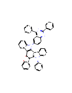 c1ccc(-c2nc(-c3ccccc3)c3cc(-n4c5ccccc5c5c6oc7ccccc7c6c6c(c7ccccc7n6-c6ccccc6)c54)ccc3n2)cc1